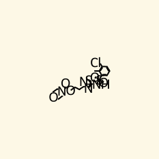 Cc1c(Cl)cccc1S(=O)(=O)Nc1nc(CCOC(=O)N2CCOCC2)ns1